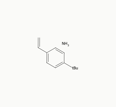 C=Cc1ccc(C(C)(C)C)cc1.N